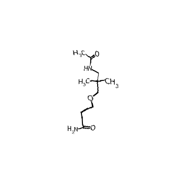 CC(=O)NCC(C)(C)COCCC(N)=O